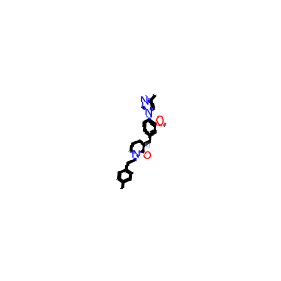 COc1cc(/C=C2\CCCN(CCc3ccc(C)cc3)C2=O)ccc1-n1cnc(C)c1